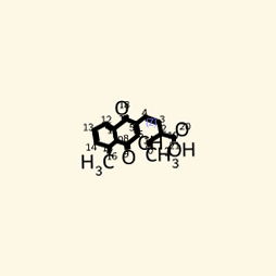 CCC(/C=C\C1=C(C)C(=O)C2C(=CC=CC2C)C1=O)C(=O)O